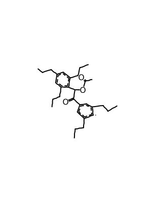 CCCc1[c]c(CCC)cc(C(=O)C(OC(C)=O)c2c(CCC)cc(CCC)cc2CCC)c1